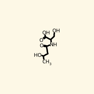 CC(O)CC(=O)NC(CO)C(=O)O